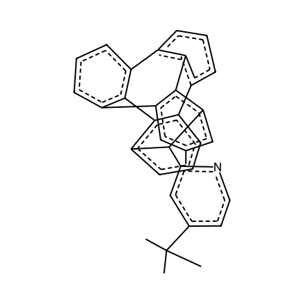 Cc1cc2c3c(c1)C(c1cc(C(C)(C)C)ccn1)c1cccc4c1-c1c(cccc1-2)-c1cccc-4c1-3